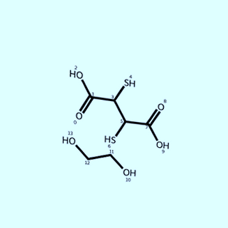 O=C(O)C(S)C(S)C(=O)O.OCCO